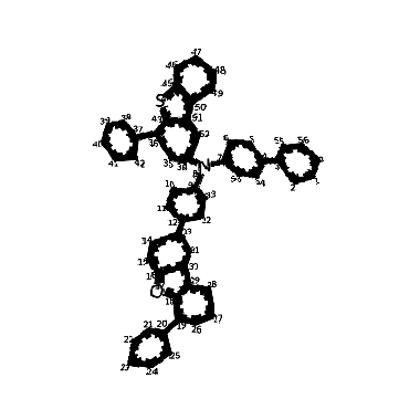 c1ccc(-c2ccc(N(c3ccc(-c4ccc5oc6c(-c7ccccc7)cccc6c5c4)cc3)c3cc(-c4ccccc4)c4sc5ccccc5c4c3)cc2)cc1